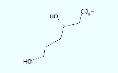 O=C(O)CC(O)CCCO